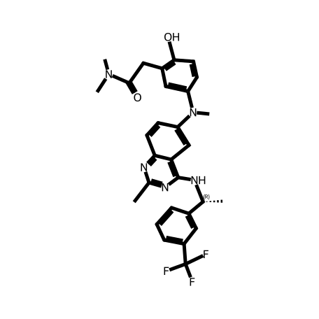 Cc1nc(N[C@H](C)c2cccc(C(F)(F)F)c2)c2cc(N(C)c3ccc(O)c(CC(=O)N(C)C)c3)ccc2n1